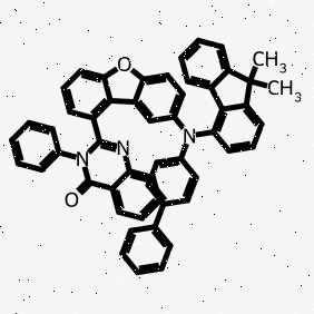 CC1(C)c2ccccc2-c2c(N(c3ccc(-c4ccccc4)cc3)c3ccc4oc5cccc(-c6nc7ccccc7c(=O)n6-c6ccccc6)c5c4c3)cccc21